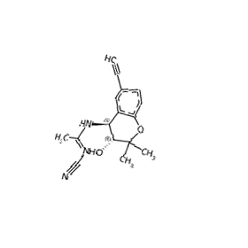 C#Cc1ccc2c(c1)[C@H](NC(C)=NC#N)[C@@H](O)C(C)(C)O2